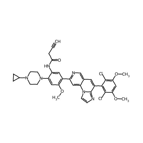 C#CCC(=O)Nc1cc(-c2cc3c(cn2)cc(-c2c(Cl)c(OC)cc(OC)c2Cl)c2nccn23)c(OC)cc1N1CCN(C2CC2)CC1